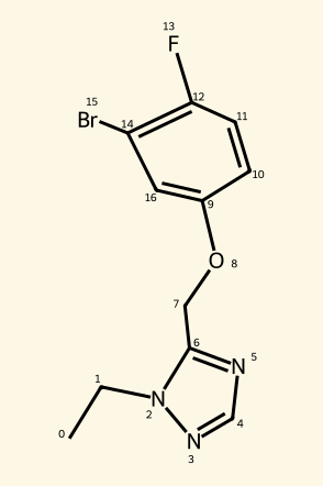 CCn1ncnc1COc1ccc(F)c(Br)c1